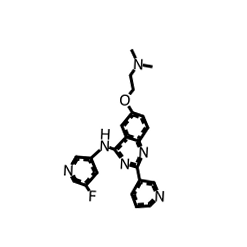 CN(C)CCOc1ccc2nc(-c3cccnc3)nc(Nc3cncc(F)c3)c2c1